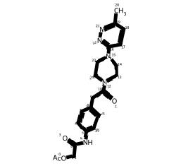 CC(=O)OCC(=O)Nc1ccc(CC(=O)N2CCN(c3ccc(C)nn3)CC2)cc1